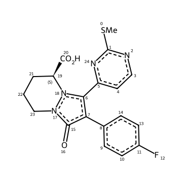 CSc1nccc(-c2c(-c3ccc(F)cc3)c(=O)n3n2[C@H](C(=O)O)CCC3)n1